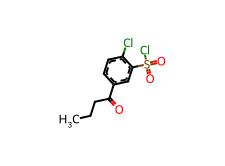 CCCC(=O)c1ccc(Cl)c(S(=O)(=O)Cl)c1